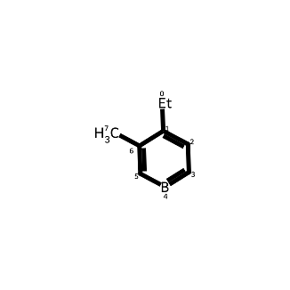 CCc1ccbcc1C